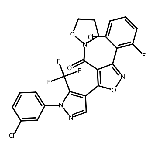 O=C(c1c(-c2c(F)cccc2Cl)noc1-c1cnn(-c2cccc(Cl)c2)c1C(F)(F)F)N1CCCO1